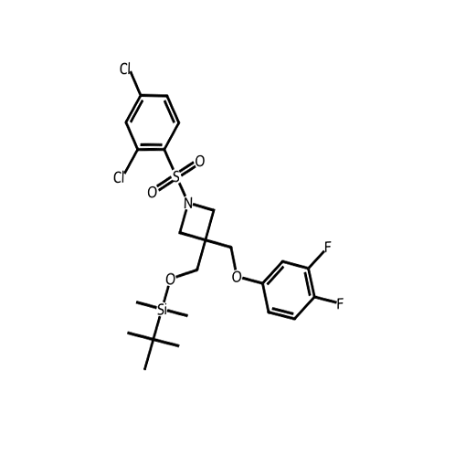 CC(C)(C)[Si](C)(C)OCC1(COc2ccc(F)c(F)c2)CN(S(=O)(=O)c2ccc(Cl)cc2Cl)C1